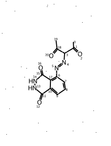 CC(=O)C(N=Nc1cccc2c(=O)[nH][nH]c(=O)c12)C(C)=O